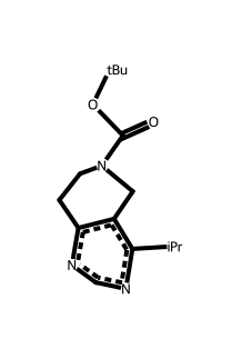 CC(C)c1ncnc2c1CN(C(=O)OC(C)(C)C)CC2